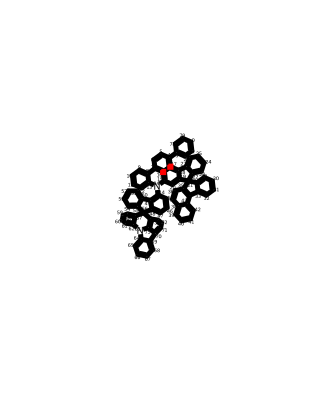 c1ccc(-c2ccc(-c3ccccc3N(c3ccc4c(c3)C3(c5ccccc5-4)c4ccccc4-c4c3ccc3ccccc43)c3cccc4c3-c3ccccc3C43c4ccccc4-n4c5ccccc5c5cccc3c54)cc2)cc1